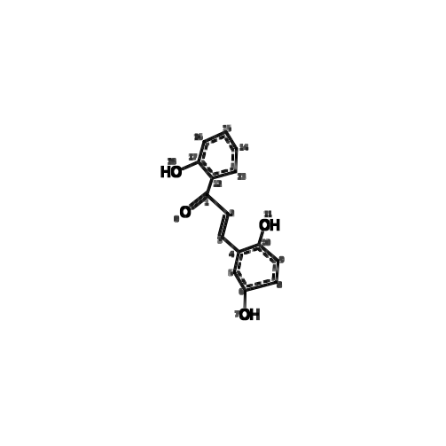 O=C(C=Cc1cc(O)ccc1O)c1ccccc1O